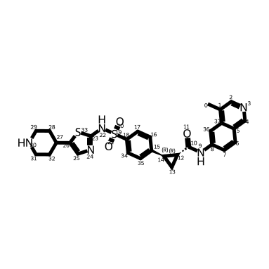 Cc1cncc2ccc(NC(=O)[C@@H]3C[C@H]3c3ccc(S(=O)(=O)Nc4ncc(C5CCNCC5)s4)cc3)cc12